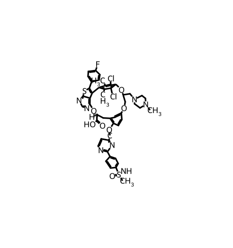 Cc1c(Cl)c2c(Cl)c(C)c1-c1c(-c3ccc(F)cc3)sc3ncnc(c13)O[C@@H](C(=O)O)Cc1cc(ccc1OCc1ccnc(-c3ccc(S(C)(=N)=O)cc3)n1)OCC(CN1CCN(C)CC1)O2